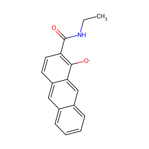 CCNC(=O)c1ccc2cc3ccccc3cc2c1[O]